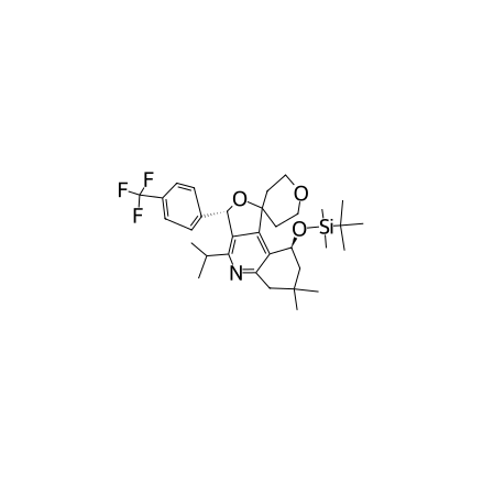 CC(C)c1nc2c(c3c1[C@H](c1ccc(C(F)(F)F)cc1)OC31CCOCC1)[C@@H](O[Si](C)(C)C(C)(C)C)CC(C)(C)C2